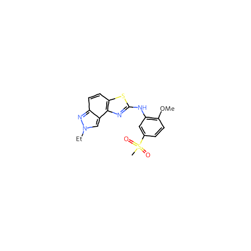 CCn1cc2c(ccc3sc(Nc4cc(S(C)(=O)=O)ccc4OC)nc32)n1